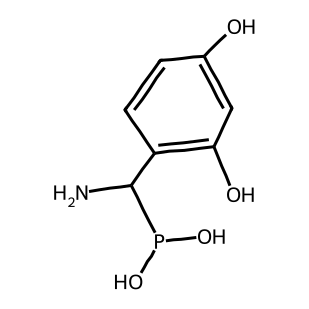 NC(c1ccc(O)cc1O)P(O)O